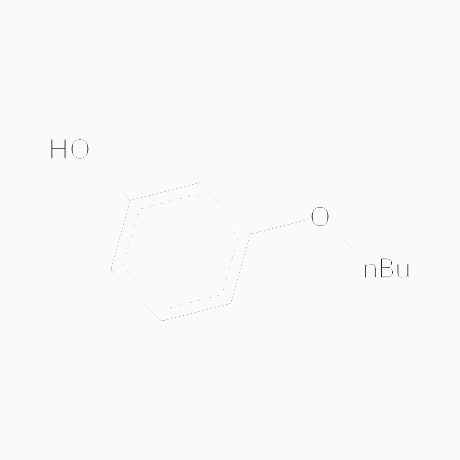 CCCCOc1cccc(O)c1